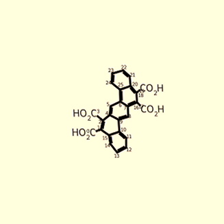 O=C(O)c1c(C(=O)O)c2cc3c(cc2c2ccccc12)c(C(=O)O)c(C(=O)O)c1ccccc13